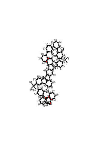 CC(C)(C)c1ccc2c(c1)c1c(N(c3ccccc3-c3ccccc3)c3cccc4oc5ccccc5c34)ccc3c4cc5c(cc4n2c31)c1ccc(N(c2ccccc2-c2ccccc2)c2cccc3oc4ccccc4c23)c2c3cc(C(C)(C)C)ccc3n5c12